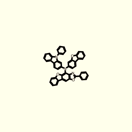 c1ccc(-c2nc3c(N(c4ccc5c(c4)oc4ccccc45)c4ccc5c6ccccc6n(-c6ccccc6)c5c4)c4oc5ccccc5c4cc3o2)cc1